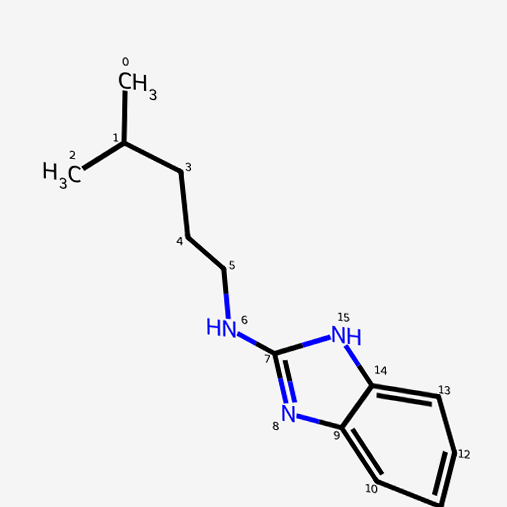 CC(C)CCCNc1nc2ccccc2[nH]1